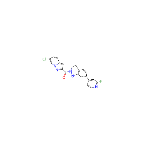 CN1c2cc(-c3ccnc(F)c3)ccc2CCN1C(=O)c1cc2ccc(Cl)cn2n1